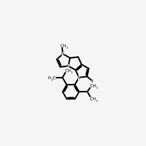 CC(C)c1cccc(C(C)C)c1-n1c(F)cc2c1N1C=CN(C)C1C2